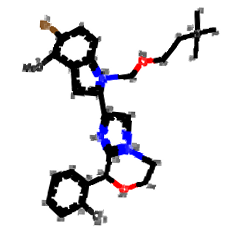 COc1c(Br)ccc2c1cc(-c1cn3c(n1)C(c1ccccc1C(F)(F)F)OCC3)n2COCC[Si](C)(C)C